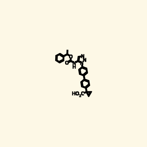 CC(OC(=O)Nc1cnnn1-c1ccc(-c2ccc(C3(C(=O)O)CC3)cc2)cc1)c1ccccc1